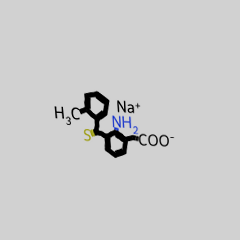 Cc1ccccc1C(=S)c1cccc(CC(=O)[O-])c1N.[Na+]